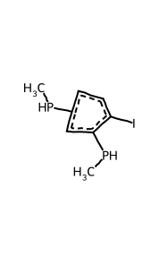 CPc1ccc(I)c(PC)c1